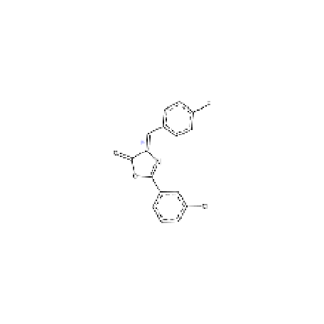 O=C1OC(c2cccc(Cl)c2)=N/C1=C\c1ccc(F)cc1